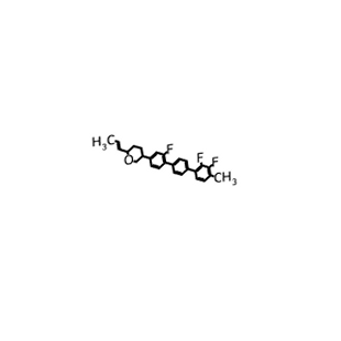 C/C=C/C1CCC(c2ccc(-c3ccc(-c4ccc(C)c(F)c4F)cc3)c(F)c2)CO1